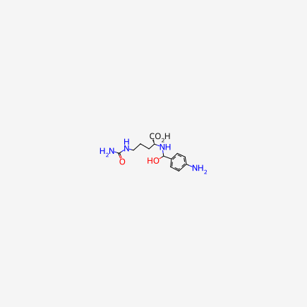 NC(=O)NCCC[C@H](NC(O)c1ccc(N)cc1)C(=O)O